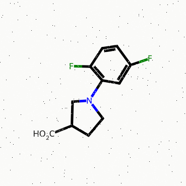 O=C(O)C1CCN(c2cc(F)ccc2F)C1